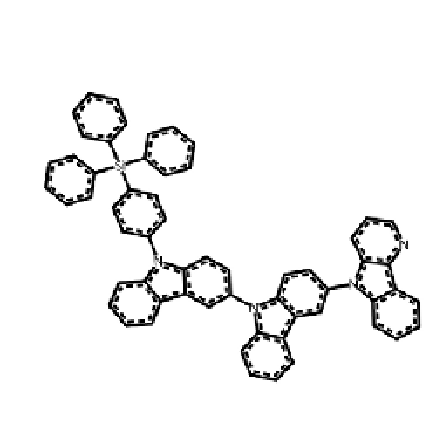 c1ccc([Si](c2ccccc2)(c2ccccc2)c2ccc(-n3c4ccccc4c4cc(-n5c6ccccc6c6cc(-n7c8ccccc8c8ncccc87)ccc65)ccc43)cc2)cc1